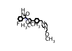 CCOCCN1CCN(Cc2ccc(C3=C/C(=C4\C(=O)Nc5ccc(F)cc54)OC3(C)C)cc2)CC1